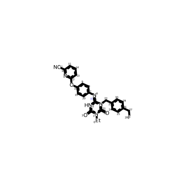 CCn1c(=O)[nH]/c(=N\c2ccc(Oc3cccc(C#N)n3)cc2)n(Cc2ccc(CF)cc2)c1=O